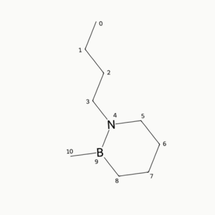 CCCCN1CCCCB1C